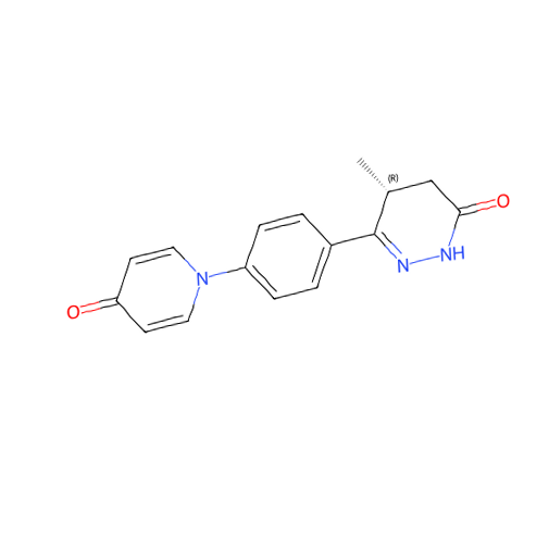 C[C@@H]1CC(=O)NN=C1c1ccc(-n2ccc(=O)cc2)cc1